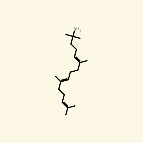 CC(C)=CCCC(C)=CCCC(C)=CCCC(C)(C)N